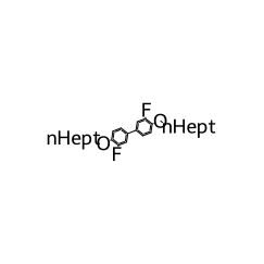 CCCCCCCOc1ccc(-c2ccc(OCCCCCCC)c(F)c2)cc1F